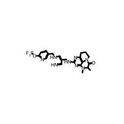 CC1C(=O)N2CCCc3nc(NC/C(C=N)=C/NCc4ccc(OC(F)(F)F)nc4)nc(c32)N1C